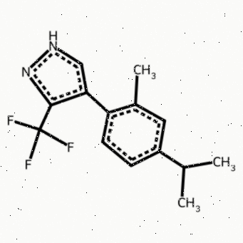 Cc1cc(C(C)C)ccc1-c1c[nH]nc1C(F)(F)F